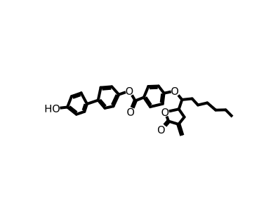 C=C1CC(C(CCCCCC)Oc2ccc(C(=O)Oc3ccc(-c4ccc(O)cc4)cc3)cc2)OC1=O